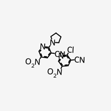 N#Cc1cc([N+](=O)[O-])cnc1Cl.N#Cc1cc([N+](=O)[O-])cnc1N1CCCC1